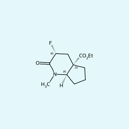 CCOC(=O)[C@]12CCC[C@H]1N(C)C(=O)[C@H](F)C2